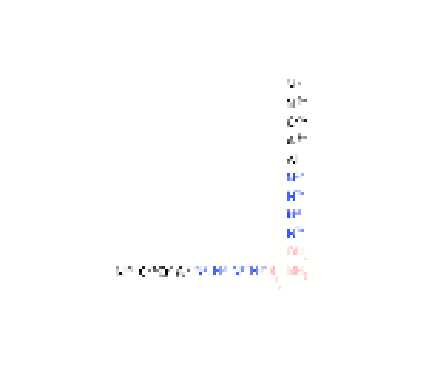 B.B.B.[Al+3].[Al+3].[Al+3].[Cr+3].[Cr+3].[Cr+3].[N-3].[N-3].[N-3].[N-3].[N-3].[N-3].[N-3].[N-3].[Ni+2].[Ni+2].[Ni+2]